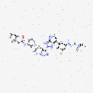 CN(C)CCNc1cc(F)cc(-c2ccnc3[nH]c(-c4n[nH]c5ncc(-c6cncc(NC(=O)Cc7ccccc7)c6)cc45)nc23)c1